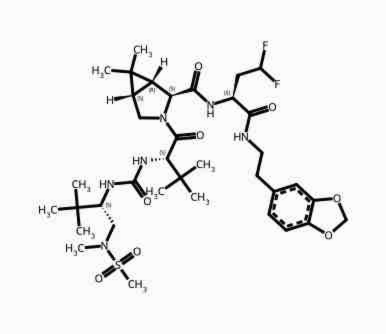 CN(C[C@@H](NC(=O)N[C@H](C(=O)N1C[C@H]2[C@@H]([C@H]1C(=O)N[C@@H](CC(F)F)C(=O)NCCc1ccc3c(c1)OCO3)C2(C)C)C(C)(C)C)C(C)(C)C)S(C)(=O)=O